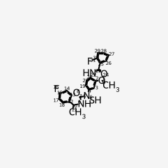 COc1cc(N(S)C(=O)NC(C)c2ccc(F)cc2)ccc1NC(=O)c1ccccc1F